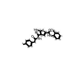 Cc1ccc(CC(=O)Nc2n[nH]c3sc(C(=O)Nc4ccccc4Cl)cc23)cc1